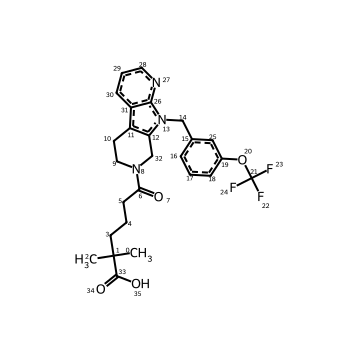 CC(C)(CCCC(=O)N1CCc2c(n(Cc3cccc(OC(F)(F)F)c3)c3ncccc23)C1)C(=O)O